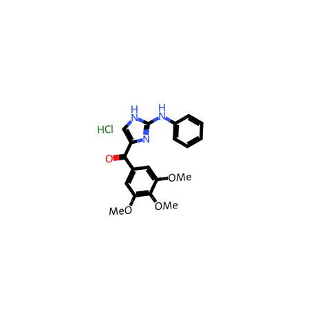 COc1cc(C(=O)c2c[nH]c(Nc3ccccc3)n2)cc(OC)c1OC.Cl